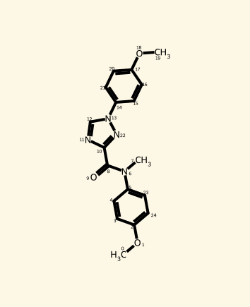 COc1ccc(N(C)C(=O)c2ncn(-c3ccc(OC)cc3)n2)cc1